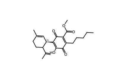 C=C(C)C1CCC(C)=C[C@H]1C1=C(O)C(=O)C(CCCCC)=C(C(=O)OC)C1=O